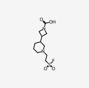 O=C(O)N1CC(C2CCCN(CCS(=O)(=O)F)C2)C1